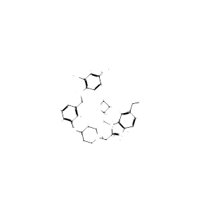 N#Cc1ccc(OCc2cccc(OC3CCN(Cc4nc5ccc(CC(=O)O)cc5n4C[C@@H]4CCO4)CC3)c2)c(F)c1